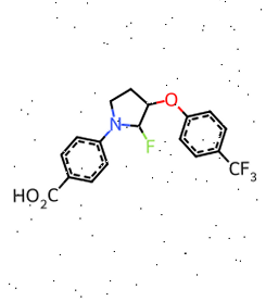 O=C(O)c1ccc(N2CCC(Oc3ccc(C(F)(F)F)cc3)C2F)cc1